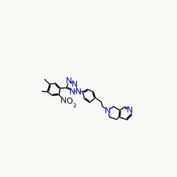 Cc1cc(-c2nnn(-c3ccc(CCN4CCc5ccncc5C4)cc3)n2)c([N+](=O)[O-])cc1C